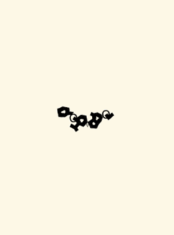 CCOc1cc(C)c2c(c1)CC[C@@H]2c1ccc(OCc2ccccc2)c(C(C)C)c1